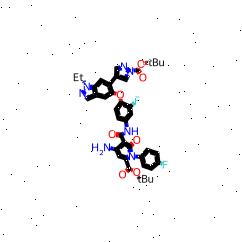 CCn1ncc2cc(Oc3ccc(NC(=O)c4c(N)cc(C(=O)OC(C)(C)C)n(-c5ccc(F)cc5)c4=O)cc3F)c(-c3cnn(C(=O)OC(C)(C)C)c3)cc21